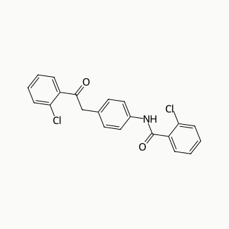 O=C(Cc1ccc(NC(=O)c2ccccc2Cl)cc1)c1ccccc1Cl